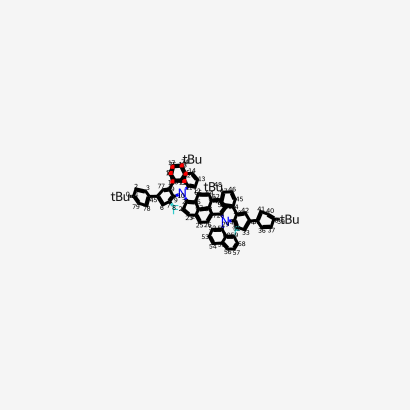 CC(C)(C)c1ccc(-c2cc(F)c(N(c3cccc4ccccc34)c3ccc4ccc5c(N(c6c(F)cc(-c7ccc(C(C)(C)C)cc7)cc6-c6ccc(C(C)(C)C)cc6)c6cccc7ccccc67)ccc6ccc3c4c65)c(-c3ccc(C(C)(C)C)cc3)c2)cc1